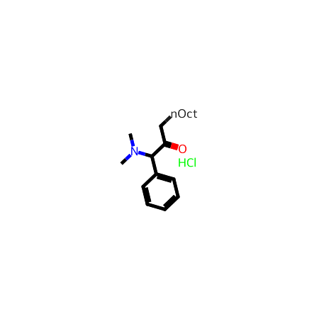 CCCCCCCCCC(=O)C(c1ccccc1)N(C)C.Cl